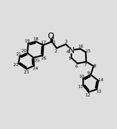 O=C(CCN1CCC(Cc2ccccc2)CC1)c1ccc2ccccc2c1